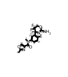 Cc1nc(C(=O)N(C)c2ccc(F)c([C@@]3(C)N=C(N)OCC3(F)F)c2)co1